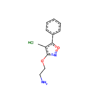 Cc1c(OCCN)noc1-c1ccccc1.Cl